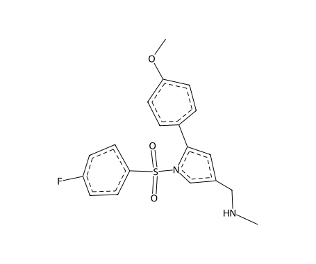 CNCc1cc(-c2ccc(OC)cc2)n(S(=O)(=O)c2ccc(F)cc2)c1